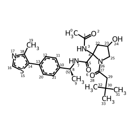 CC(=O)NC1(C(=O)N[C@@H](C)c2ccc(-c3scnc3C)cc2)CC(O)CN1C(=O)CC(C)(C)C